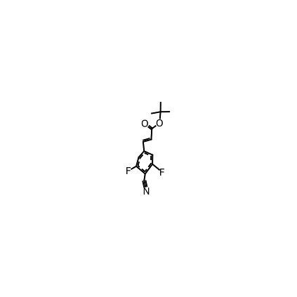 CC(C)(C)OC(=O)/C=C/c1cc(F)c(C#N)c(F)c1